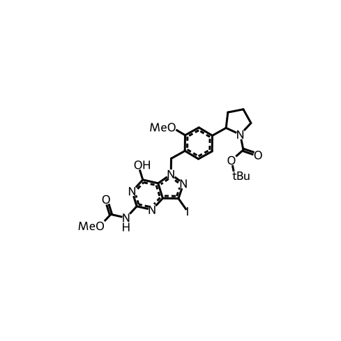 COC(=O)Nc1nc(O)c2c(n1)c(I)nn2Cc1ccc(C2CCCN2C(=O)OC(C)(C)C)cc1OC